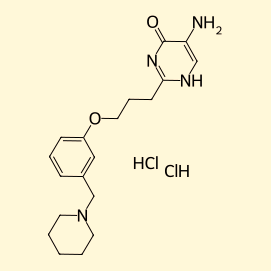 Cl.Cl.Nc1c[nH]c(CCCOc2cccc(CN3CCCCC3)c2)nc1=O